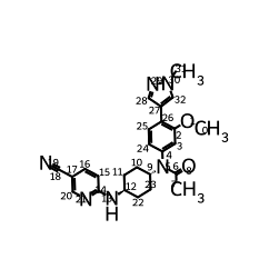 COc1cc(N(C(C)=O)[C@H]2CC[C@H](Nc3ccc(C#N)cn3)CC2)ccc1-c1cnn(C)c1